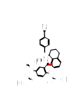 N#Cc1ccc(C[C@@]2(NC(=O)c3cc(OC(=O)O)c(OC(=O)O)cc3OC(=O)O)CCCc3ccccc32)cc1